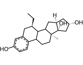 CC[C@@H]1Cc2cc(O)ccc2C2CC[C@@]3(C)C(C[C@H]4C[C@H](O)C[C@]43O)C21